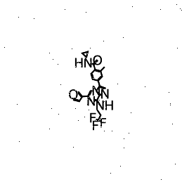 Cc1cc(-c2cnc3c(NCCC(F)(F)F)nc(-c4ccoc4)cn23)ccc1C(=O)NC1CC1